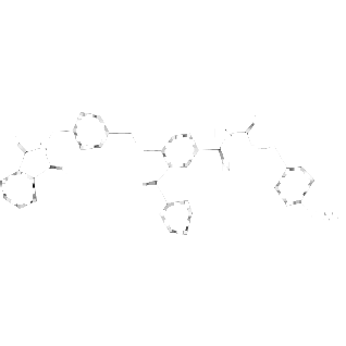 COc1ccc(COC(=O)NC(=N)c2ccc(OCc3ccc(CN4C(=O)c5ccccc5C4=O)cc3)c(C(=O)c3ccccc3)c2)cc1